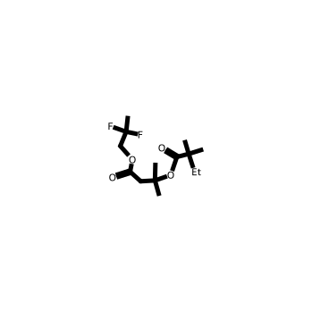 CCC(C)(C)C(=O)OC(C)(C)CC(=O)OCC(C)(F)F